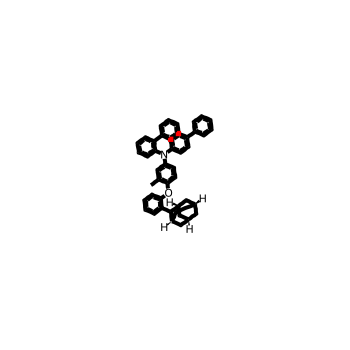 Cc1cc(N(c2ccc(-c3ccccc3)cc2)c2ccccc2-c2ccccc2)ccc1Oc1ccccc1C1[C@H]2C[C@H]3C[C@H](C[C@H]1C3)C2